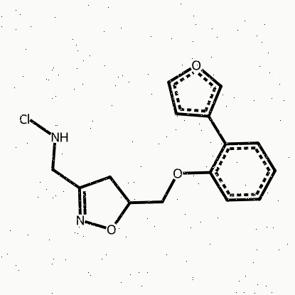 ClNCC1=NOC(COc2ccccc2-c2ccoc2)C1